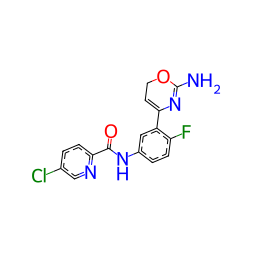 NC1=NC(c2cc(NC(=O)c3ccc(Cl)cn3)ccc2F)=CCO1